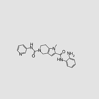 Cn1c(C(=O)Nc2ccccc2N)cc2c1CCN(C(=O)Nc1cccnc1)C2